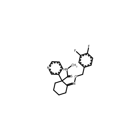 CNC(=S)C1(c2cccnc2)CCCC/C1=N/OCc1ccc(F)c(F)c1